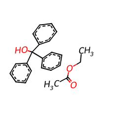 CCOC(C)=O.OC(c1ccccc1)(c1ccccc1)c1ccccc1